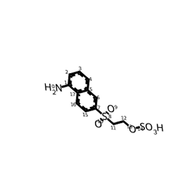 Nc1cccc2cc(S(=O)(=O)CCOS(=O)(=O)O)ccc12